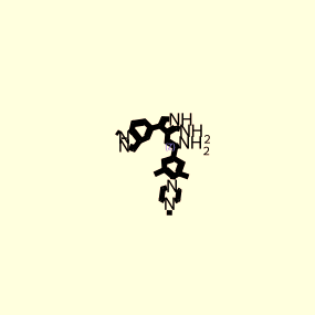 Cc1cc(/C(N)=C/c2c(-c3ccc4c(cnn4C)c3)c[nH]c2N)cc(C)c1N1CCN(C)CC1